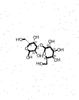 OC[C@H]1OC(O[C@H]2[C@@H](O)[C@@H](CO)OC(O)[C@@H]2O)[C@H](O)[C@@H](O)[C@H]1O